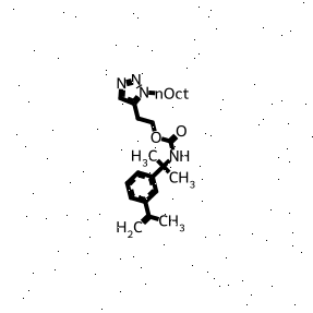 C=C(C)c1cccc(C(C)(C)NC(=O)OCCc2cnnn2CCCCCCCC)c1